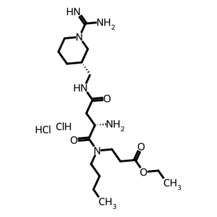 CCCCN(CCC(=O)OCC)C(=O)[C@@H](N)CC(=O)NC[C@@H]1CCCN(C(=N)N)C1.Cl.Cl